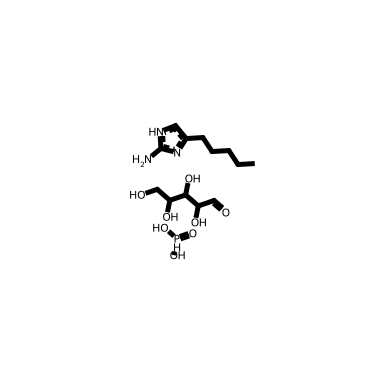 CCCCCc1c[nH]c(N)n1.O=CC(O)C(O)C(O)CO.O=[PH](O)O